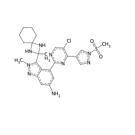 Cn1nc2cc(N)cc(-c3ncc(Cl)c(-c4cnn(S(C)(=O)=O)c4)n3)c2c1C1(C)NC2(CCCCC2)N1